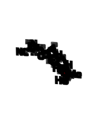 COC[C@]12CC[C@@](C)(CO)C[C@H]1CC[C@@H]1[C@@H]2CC[C@]2(C)C(C(=O)Cn3cc(C#N)cn3)C3CC3[C@@H]12